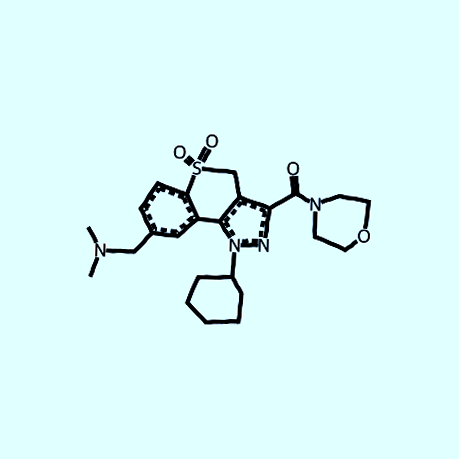 CN(C)Cc1ccc2c(c1)-c1c(c(C(=O)N3CCOCC3)nn1C1CCCCC1)CS2(=O)=O